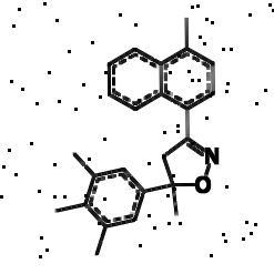 Cc1cc(C2(C)CC(c3ccc(C)c4ccccc34)=NO2)cc(C)c1C